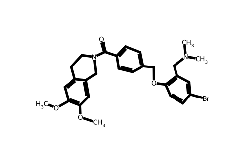 COc1cc2c(cc1OC)CN(C(=O)c1ccc(COc3ccc(Br)cc3CN(C)C)cc1)CC2